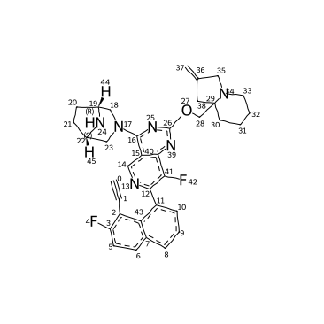 C#Cc1c(F)ccc2cccc(-c3ncc4c(N5C[C@H]6CC[C@@H](C5)N6)nc(OCC56CCCCN5CC(=C)C6)nc4c3F)c12